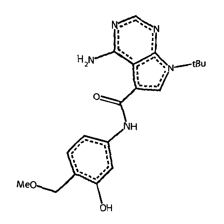 COCc1ccc(NC(=O)c2cn(C(C)(C)C)c3ncnc(N)c23)cc1O